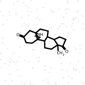 CC12CCC3C(CCC45CC(=O)CCC34CCN5)C1CCC2=O